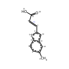 Cc1ccc2sc(/C=C/C(=O)O)cc2c1